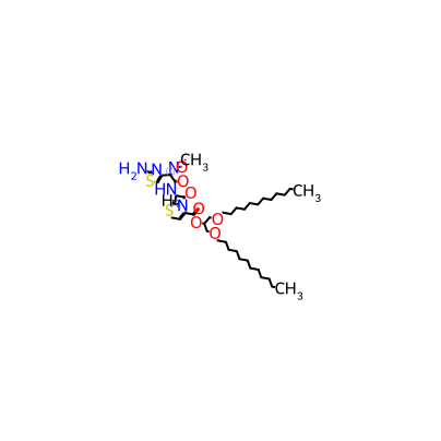 CCCCCCCCCCCCOCC(COCCCCCCCCCCCC)OC(=O)C1=CCS[C@@H]2C(NC(=O)/C(=N\OC)c3csc(N)n3)C(=O)N12